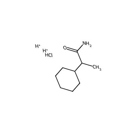 CC(C(N)=O)C1CCCCC1.Cl.[H+].[H+]